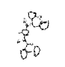 Cc1cc(C(=O)N2Cc3cccnc3Oc3ccccc32)ccc1NC(=O)c1ccccc1-c1ccccc1